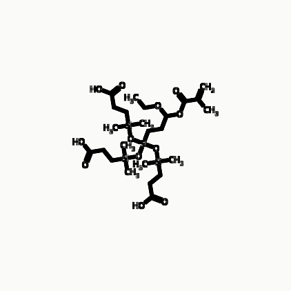 C=C(C)C(=O)OC(CC[Si](O[Si](C)(C)CCC(=O)O)(O[Si](C)(C)CCC(=O)O)O[Si](C)(C)CCC(=O)O)OCC